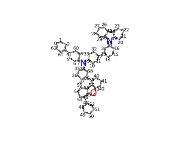 c1ccc(-c2ccc(N(c3ccc(-c4cccc(-n5c6ccccc6c6ccccc65)c4)cc3)c3cccc(-c4cccc5oc6c(-c7ccccc7)cccc6c45)c3)cc2)cc1